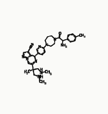 CNCC(C)(CNC)c1cn2ncc(C#N)c2c(-c2ccc(N3CCCN(C(=O)C(N)c4ccc(C)cc4)CC3)nc2)n1